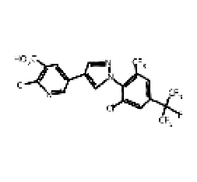 O=C(O)c1cc(-c2cnn(-c3c(Cl)cc(C(F)(C(F)(F)F)C(F)(F)F)cc3C(F)(F)F)c2)cnc1Cl